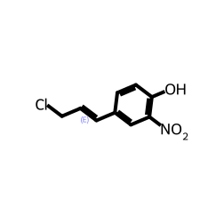 O=[N+]([O-])c1cc(/C=C/CCl)ccc1O